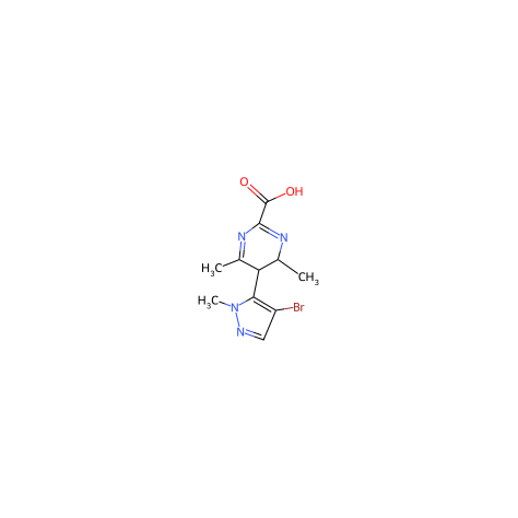 CC1=NC(C(=O)O)=NC(C)C1c1c(Br)cnn1C